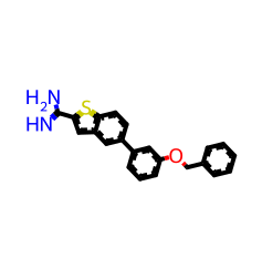 N=C(N)c1cc2cc(-c3cccc(OCc4ccccc4)c3)ccc2s1